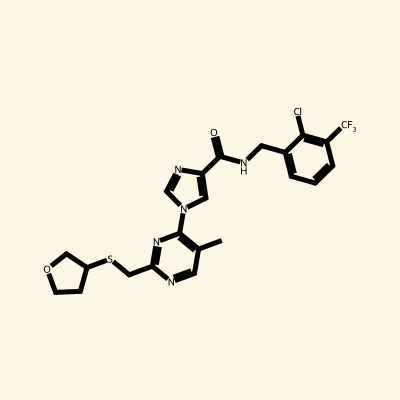 Cc1cnc(CSC2CCOC2)nc1-n1cnc(C(=O)NCc2cccc(C(F)(F)F)c2Cl)c1